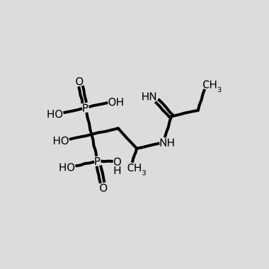 CCC(=N)NC(C)CC(O)(P(=O)(O)O)P(=O)(O)O